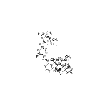 BC(O)(c1c(C)cccc1OCc1ccc(CN2CC(C)(C)OC(C)(C)C2)cc1F)N(C=O)C(C(=O)NC)C(B)(B)C(B)(B)C=O